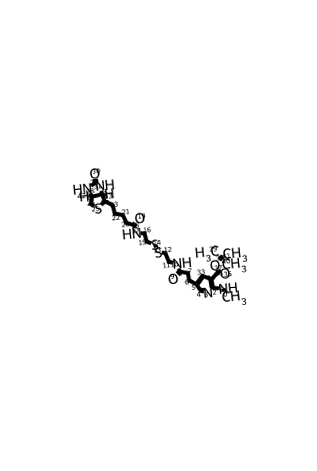 CNc1ncc(CCC(=O)NCCSSCCNC(=O)CCCCC2SC[C@@H]3NC(=O)N[C@H]23)cc1C(=O)OC(C)(C)C